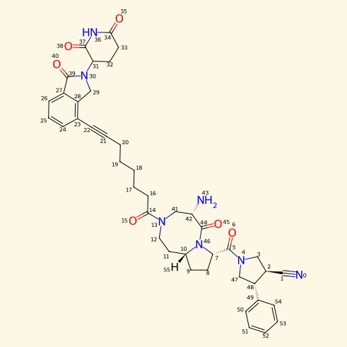 N#C[C@@H]1CN(C(=O)[C@@H]2CC[C@@H]3CCN(C(=O)CCCCCC#Cc4cccc5c4CN(C4CCC(=O)NC4=O)C5=O)C[C@H](N)C(=O)N32)C[C@H]1c1ccccc1